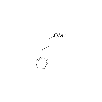 [CH2]OCCCc1ccco1